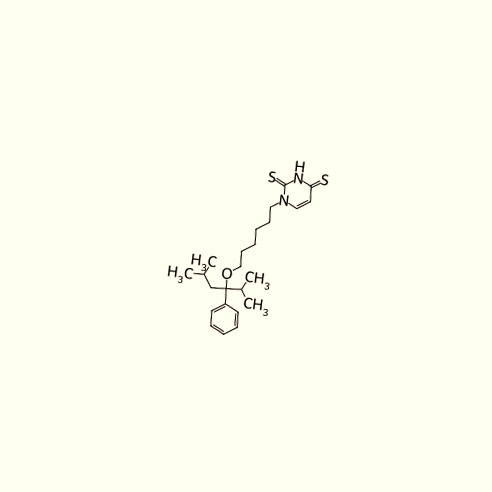 CC(C)CC(OCCCCCCn1ccc(=S)[nH]c1=S)(c1ccccc1)C(C)C